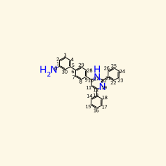 Nc1cccc(-c2ccc(C3C=C(c4ccccc4)N=C(c4ccccc4)N3)cc2)c1